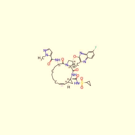 Cc1nc2ccc(F)cc2nc1O[C@@H]1C[C@H]2C(=O)N[C@]3(C(=O)NS(=O)(=O)C4CC4)C[C@H]3/C=C\CCCCC[C@H](NC(=O)c3ccnn3C)C(=O)N2C1